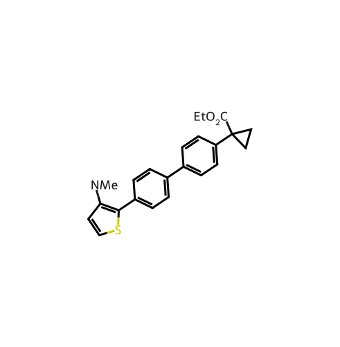 CCOC(=O)C1(c2ccc(-c3ccc(-c4sccc4NC)cc3)cc2)CC1